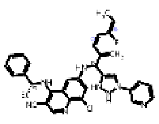 C=C(/C=C\C(F)=C/C)[C@H](Nc1cc(Cl)c2ncc(C#N)c(N[C@H](CC)c3ccccc3)c2c1)C1=CN(c2cccnc2)NN1